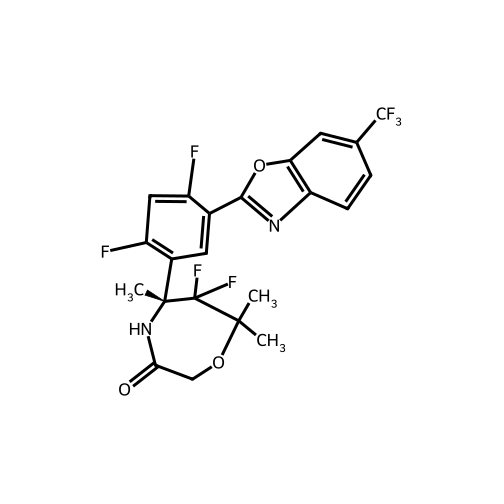 CC1(C)OCC(=O)N[C@](C)(c2cc(-c3nc4ccc(C(F)(F)F)cc4o3)c(F)cc2F)C1(F)F